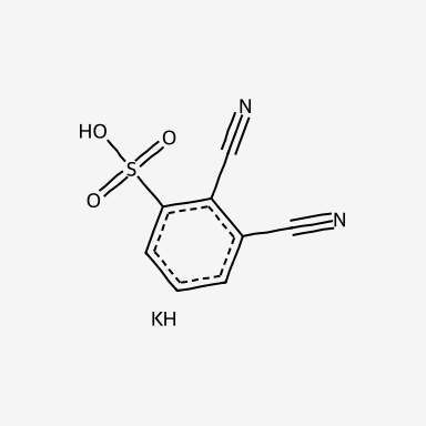 N#Cc1cccc(S(=O)(=O)O)c1C#N.[KH]